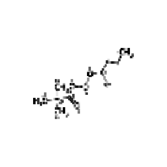 CCCC(F)OOOC(=O)C(C)(C)C